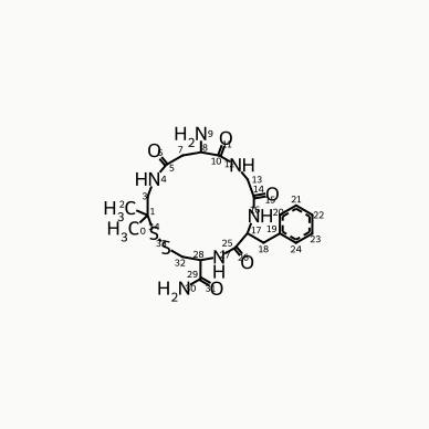 CC1(C)CNC(=O)CC(N)C(=O)NCC(=O)NC(Cc2ccccc2)C(=O)NC(C(N)=O)CSS1